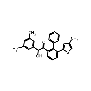 Cc1cc(C)cc(C(O)C(=O)c2cccc(-c3cc(C)cs3)c2-c2ccccc2)c1